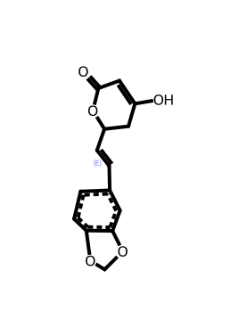 O=C1C=C(O)CC(/C=C/c2ccc3c(c2)OCO3)O1